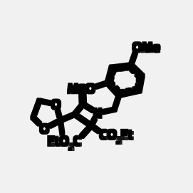 CCOC(=O)C1(C(=O)OCC)C(C2(C)OCCO2)C(=O)N1Cc1ccc(OC)cc1OC